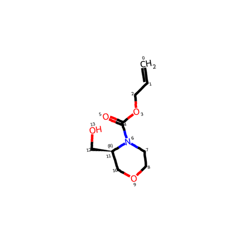 C=CCOC(=O)N1CCOC[C@H]1CO